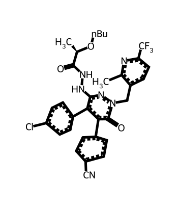 CCCCO[C@H](C)C(=O)NNc1nn(Cc2ccc(C(F)(F)F)nc2C)c(=O)c(-c2ccc(C#N)cc2)c1-c1ccc(Cl)cc1